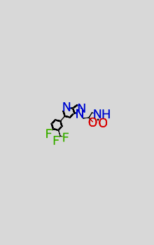 O=C1NCC(Cn2ncc3ncc(-c4ccc(F)c(C(F)F)c4)cc32)O1